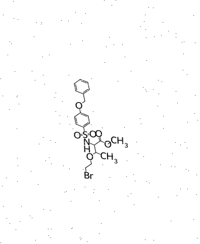 COC(=O)C(NS(=O)(=O)c1ccc(OCc2ccccc2)cc1)C(C)OCCBr